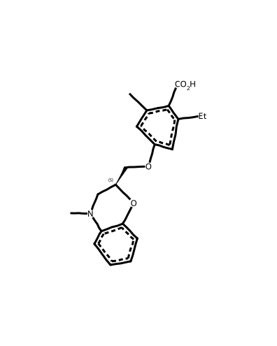 CCc1cc(OC[C@@H]2CN(C)c3ccccc3O2)cc(C)c1C(=O)O